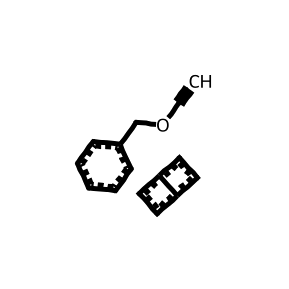 C#COCc1ccccc1.c1cc2ccc1-2